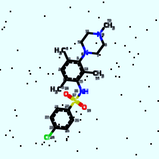 Cc1cc(C)c(N2CCN(C)CC2)c(C)c1NS(=O)(=O)c1ccc(Cl)cc1